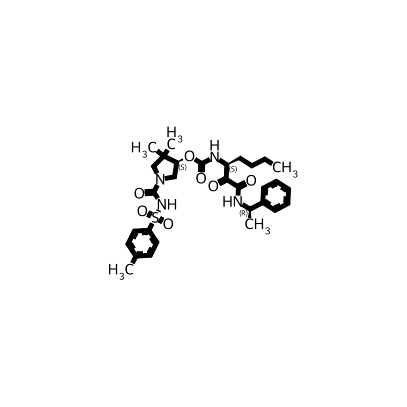 CCCC[C@H](NC(=O)O[C@@H]1CN(C(=O)NS(=O)(=O)c2ccc(C)cc2)CC1(C)C)C(=O)C(=O)N[C@H](C)c1ccccc1